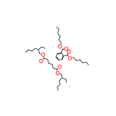 CCCCC(CC)COC(=O)CCCCC(=O)OCC(CC)CCCC.CCCCCCOC(=O)c1ccccc1C(=O)OCCCCCC